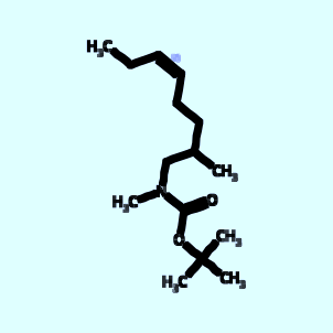 CC/C=C\CCC(C)CN(C)C(=O)OC(C)(C)C